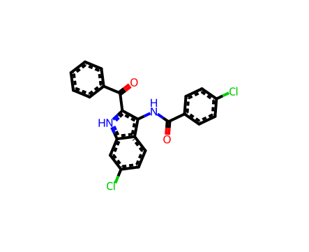 O=C(Nc1c(C(=O)c2ccccc2)[nH]c2cc(Cl)ccc12)c1ccc(Cl)cc1